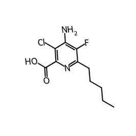 CCCCCc1nc(C(=O)O)c(Cl)c(N)c1F